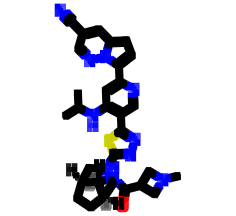 CC(C)Nc1cc(-c2ccc3cc(C#N)cnn23)ncc1-c1nnc(N2C[C@H]3CC[C@@H](C2)[C@@H]3NC(=O)C2CN(C)C2)s1